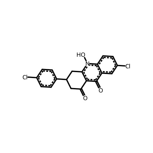 O=C1CC(c2ccc(Cl)cc2)Cc2c1c(=O)c1cc(Cl)ccc1n2O